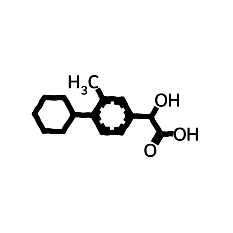 Cc1cc(C(O)C(=O)O)ccc1C1CCCCC1